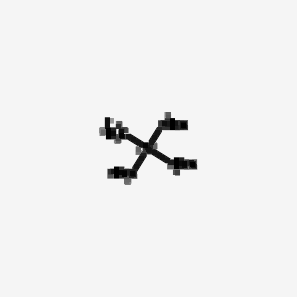 CCCCCC[N+](C)(CCCCCC)CCCCCC.[I-]